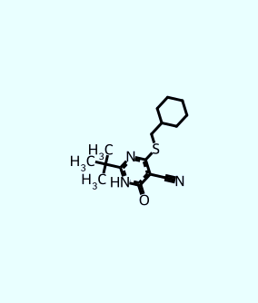 CC(C)(C)c1nc(SCC2CCCCC2)c(C#N)c(=O)[nH]1